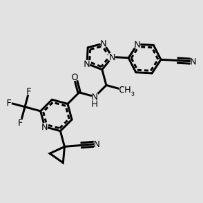 CC(NC(=O)c1cc(C(F)(F)F)nc(C2(C#N)CC2)c1)c1ncnn1-c1ccc(C#N)cn1